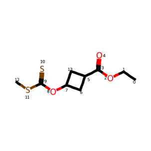 CCOC(=O)C1CC(OC(=S)SC)C1